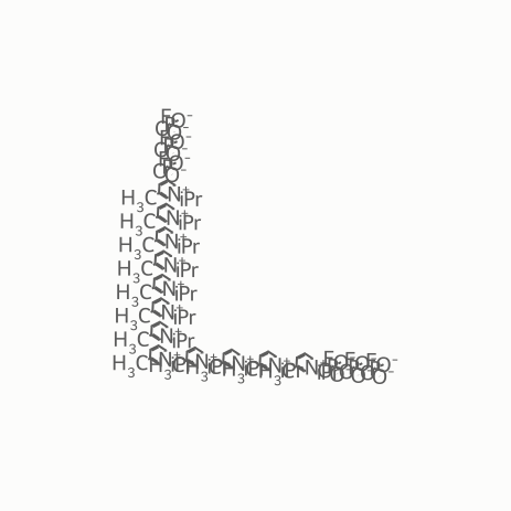 Cc1ccc[n+](C(C)C)c1.Cc1ccc[n+](C(C)C)c1.Cc1ccc[n+](C(C)C)c1.Cc1ccc[n+](C(C)C)c1.Cc1ccc[n+](C(C)C)c1.Cc1ccc[n+](C(C)C)c1.Cc1ccc[n+](C(C)C)c1.Cc1ccc[n+](C(C)C)c1.Cc1ccc[n+](C(C)C)c1.Cc1ccc[n+](C(C)C)c1.Cc1ccc[n+](C(C)C)c1.Cc1ccc[n+](C(C)C)c1.O=P([O-])([O-])F.O=P([O-])([O-])F.O=P([O-])([O-])F.O=P([O-])([O-])F.O=P([O-])([O-])F.O=P([O-])([O-])F